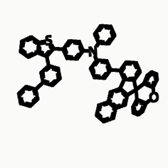 c1ccc(-c2cccc(-c3c(-c4ccc(N(c5ccccc5)c5cccc(-c6cccc7c6-c6cc8ccccc8cc6C76c7ccccc7Oc7ccccc76)c5)cc4)sc4ccccc34)c2)cc1